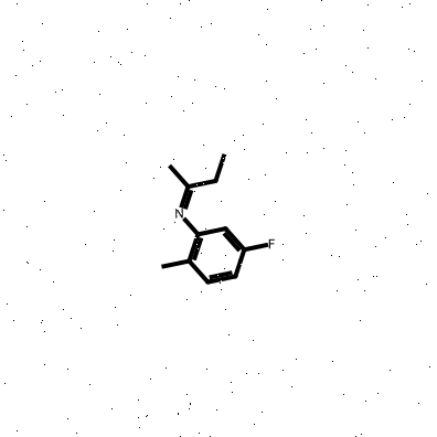 CC/C(C)=N\c1cc(F)ccc1C